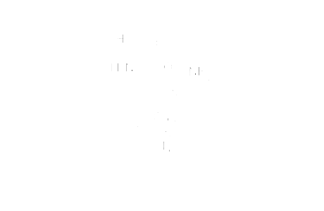 CC(C)C(N)CCC(CO[Si](c1ccccc1)(c1ccccc1)C(C)(C)C)OC(N)=O